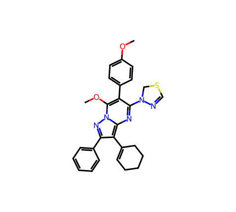 COc1ccc(-c2c(N3CSC=N3)nc3c(C4=CCCCC4)c(-c4ccccc4)nn3c2OC)cc1